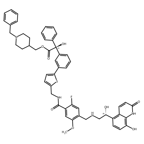 COc1cc(C(=O)NCc2ccc(-c3cccc([C@](O)(C(=O)OCC4CCN(Cc5ccccc5)CC4)c4ccccc4)c3)s2)c(F)cc1CNC[C@H](O)c1ccc(O)c2[nH]c(=O)ccc12